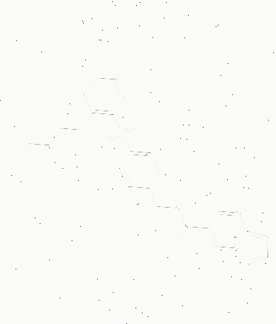 CCCCOc1ccc(Cl)cc1S(=O)(=O)c1ccc(CNC(=O)c2cnc3nccn3c2)cc1